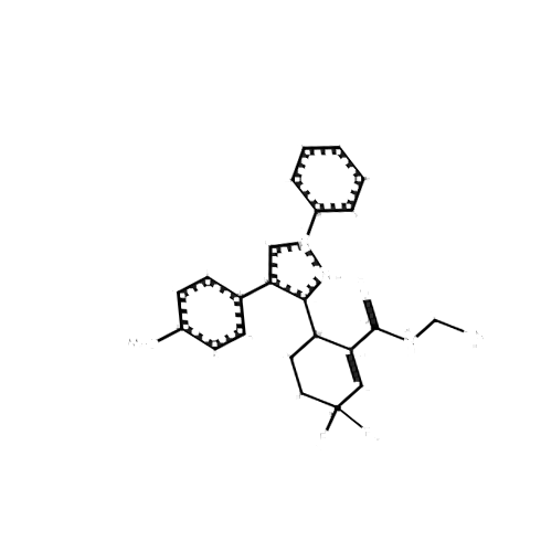 CSc1ccc(-c2cn(-c3ccccc3)nc2C2CCC(F)(F)C=C2C(=O)NCC#N)cc1